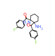 NC1(C(=O)c2ccc(F)cc2)CCCCC1(N)C(=O)c1ccc(F)cc1